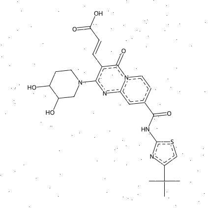 CC(C)(C)c1csc(NC(=O)c2ccn3c(=O)c(C=CC(=O)O)c(N4CCC(O)C(O)C4)nc3c2)n1